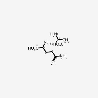 C[C@H](N)C(=O)O.NC(=O)CCC(N)C(=O)O